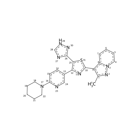 Cc1nn2ccccc2c1-c1nc(-c2ccc(N3CCCCC3)nc2)c(-c2nc[nH]n2)s1